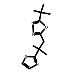 CC(C)(C)c1nnc(CC(C)(C)c2nccs2)o1